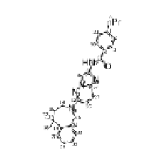 CCCc1ccc(C(=O)Nc2cn3nc(N4CCC(C)(C)c5ccccc5C4)ccc3n2)cc1